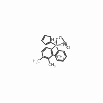 Cc1ccc(P(C)(C)(C2=CC=CC2)c2ccccc2)c(C)c1C.[Cl][Ru][Cl]